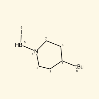 CC(C)(C)C1CCN(BI)CC1